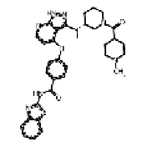 CN1CCC(C(=O)N2CCC[C@@H](Nc3n[nH]c4nccc(Oc5ccc(C(=O)Nc6nc7ccccc7s6)cc5)c34)C2)CC1